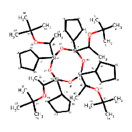 CC(OC(C)(C)C)[Si]1(C2CCCC2)O[Si](C2CCCC2)(C(C)OC(C)(C)C)O[Si](C2CCCC2)(C(C)OC(C)(C)C)O[Si](C2CCCC2)(C(C)OC(C)(C)C)O1